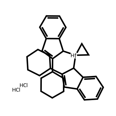 C1=C(C2CCCCC2)[CH]([Hf]2([CH]3C(C4CCCCC4)=Cc4ccccc43)[CH2][CH2]2)c2ccccc21.Cl.Cl